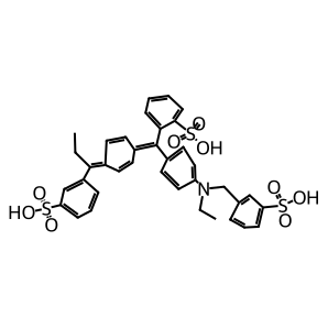 CCC(c1cccc(S(=O)(=O)O)c1)=c1ccc(=C(c2ccc(N(CC)Cc3cccc(S(=O)(=O)O)c3)cc2)c2ccccc2S(=O)(=O)O)cc1